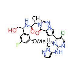 COc1cc(F)cc(C(CO)NC(=O)C(C)n2cnn3cc(-c4nc(Nc5ccnn5C)ncc4Cl)cc3c2=O)c1